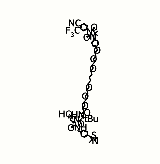 Cc1ncsc1-c1ccc(CNC(=O)[C@@H]2C[C@@H](O)CN2C(=O)C(NC(=O)COCCOCCOCCCCCOCCOCCOc2ccc(N3C(=O)N(c4ccc(C#N)c(C(F)(F)F)c4)C(=O)C3(C)C)cc2)C(C)(C)C)cc1